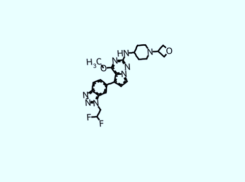 COc1nc(NC2CCN(C3COC3)CC2)nn2ccc(-c3ccc4nnn(CC(F)F)c4c3)c12